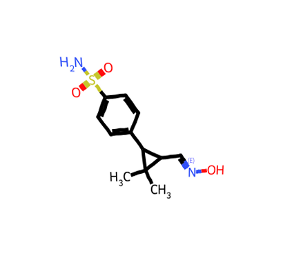 CC1(C)C(/C=N/O)C1c1ccc(S(N)(=O)=O)cc1